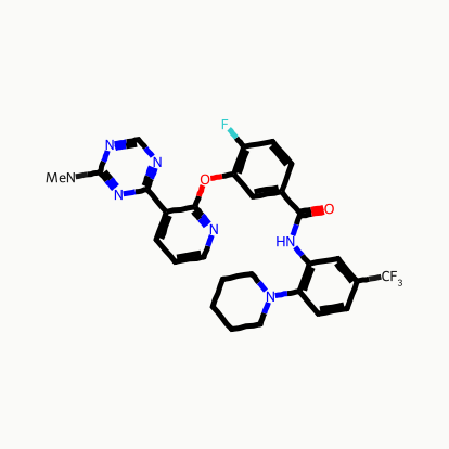 CNc1ncnc(-c2cccnc2Oc2cc(C(=O)Nc3cc(C(F)(F)F)ccc3N3CCCCC3)ccc2F)n1